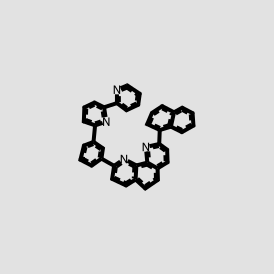 c1ccc(-c2cccc(-c3cccc(-c4ccc5ccc6ccc(-c7cccc8ccccc78)nc6c5n4)c3)n2)nc1